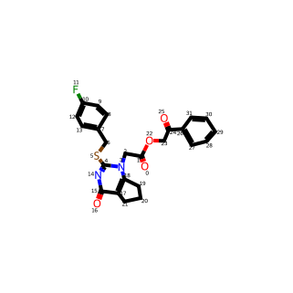 O=C(Cn1c(SCc2ccc(F)cc2)nc(=O)c2c1CCC2)OCC(=O)c1ccccc1